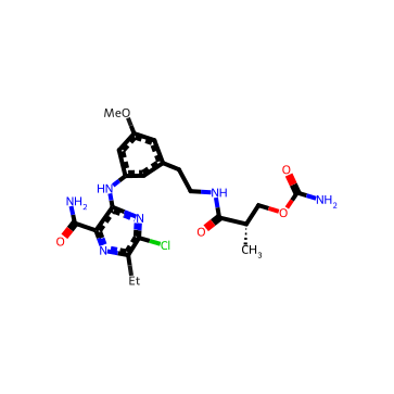 CCc1nc(C(N)=O)c(Nc2cc(CCNC(=O)[C@@H](C)COC(N)=O)cc(OC)c2)nc1Cl